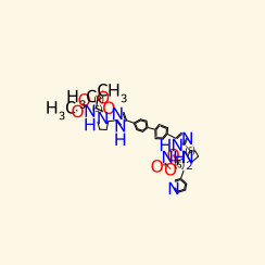 COC(=O)N[C@H](C(=O)N1CCCC1c1ncc(-c2ccc(-c3ccc(-c4cnc([C@@H]5CCCN5C(=O)[C@H](Cc5cccnc5)OC(N)=O)[nH]4)cc3)cc2)[nH]1)[C@@H](C)OC